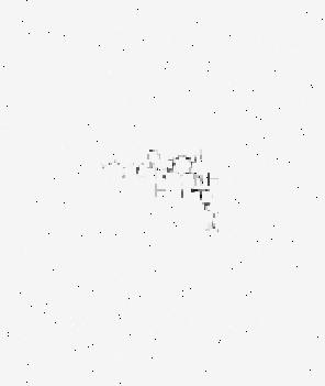 CCCCOC(=O)Nc1ccc(C)c(NC(=O)OCCCC)c1